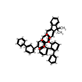 CC1(C)c2ccccc2-c2ccc(N(c3ccc(-c4cccc(-c5ccccc5)c4)cc3)c3cccc(-c4ccccc4)c3-c3ccccc3-c3ccccc3)cc21